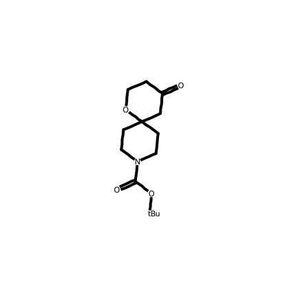 CC(C)(C)OC(=O)N1CCC2(CC1)CC(=O)CCO2